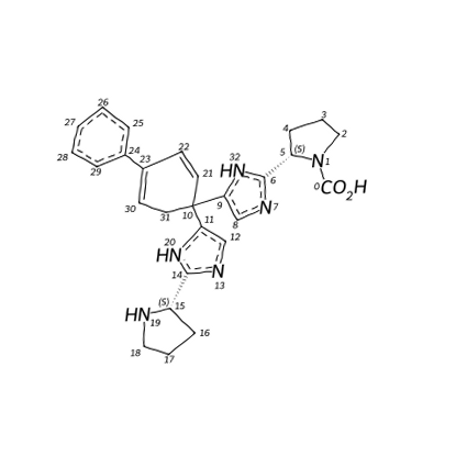 O=C(O)N1CCC[C@H]1c1ncc(C2(c3cnc([C@@H]4CCCN4)[nH]3)C=CC(c3ccccc3)=CC2)[nH]1